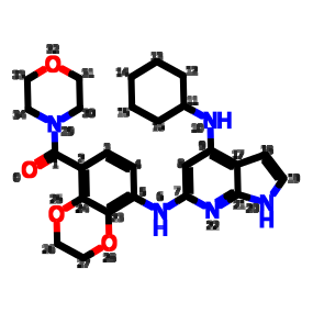 O=C(c1ccc(Nc2cc(NC3CCCCC3)c3cc[nH]c3n2)c2c1OCCO2)N1CCOCC1